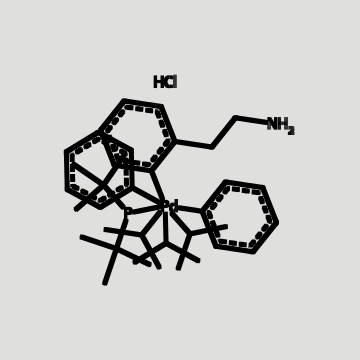 C[CH](C)[Pd]([c]1ccccc1)([c]1ccccc1)([c]1ccccc1CCN)([CH](C)C)([CH](C)C)[P](C(C)(C)C)C(C)(C)C.Cl